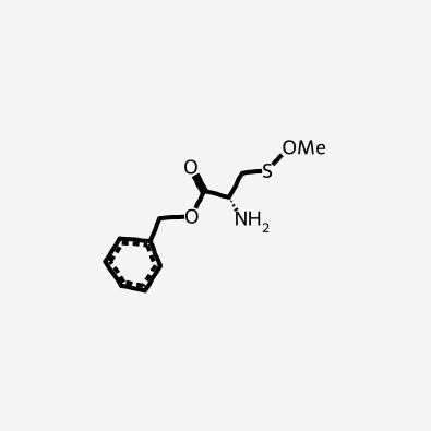 COSC[C@H](N)C(=O)OCc1ccccc1